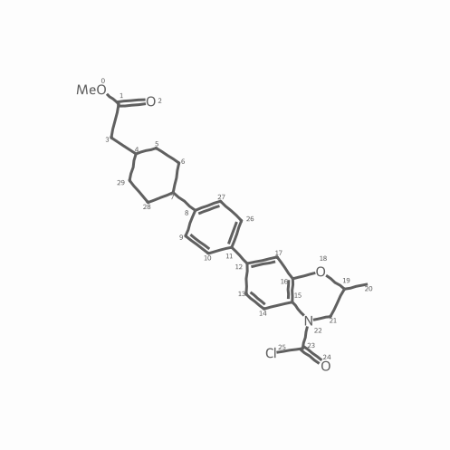 COC(=O)CC1CCC(c2ccc(-c3ccc4c(c3)OC(C)CN4C(=O)Cl)cc2)CC1